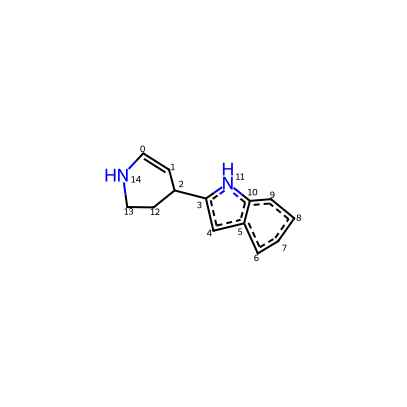 C1=CC(c2cc3ccccc3[nH]2)CCN1